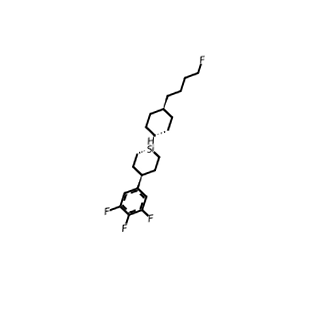 FCCCC[C@H]1CC[C@H]([Si@H]2CC[C@H](c3cc(F)c(F)c(F)c3)CC2)CC1